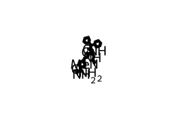 CNCCCC(NC(=O)C(c1ccccc1)c1ccccc1)C(=O)NCc1ccc(C(N)C(N)=O)cc1